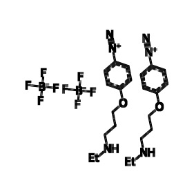 CCNCCCOc1ccc([N+]#N)cc1.CCNCCCOc1ccc([N+]#N)cc1.F[B-](F)(F)F.F[B-](F)(F)F